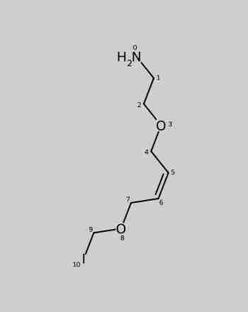 NCCOC/C=C\COCI